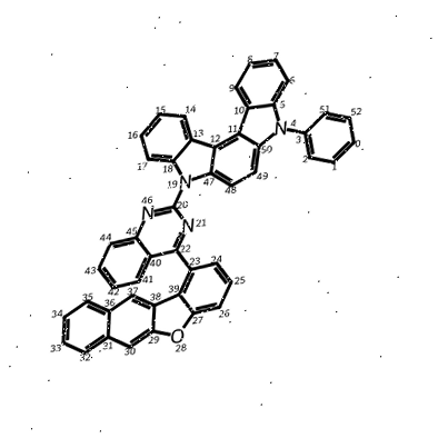 c1ccc(-n2c3ccccc3c3c4c5ccccc5n(-c5nc(-c6cccc7oc8cc9ccccc9cc8c67)c6ccccc6n5)c4ccc32)cc1